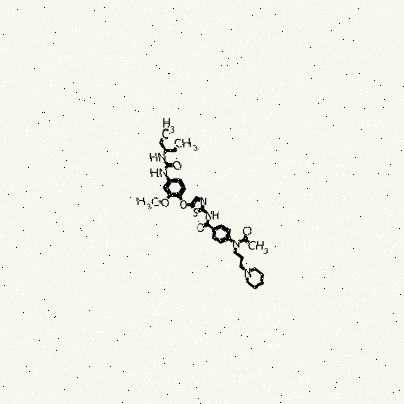 CCC(CC)NC(=O)Nc1ccc(Oc2cnc(NC(=O)c3ccc(N(CCCN4CCCCC4)C(C)=O)cc3)s2)c(OC)c1